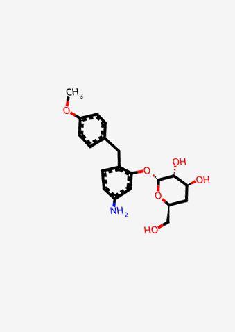 COc1ccc(Cc2ccc(N)cc2O[C@H]2O[C@H](CO)C[C@H](O)[C@H]2O)cc1